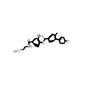 CCCCCC[C@@H](Oc1ccc(C(=O)NCCC(=O)O)cc1F)c1ccc(-c2ccc(C(F)(F)F)cc2)c(C)c1